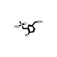 CP(=O)(O)Cc1cc(CO)ccc1Br